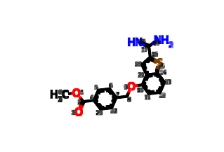 COC(=O)c1ccc(COc2cccc3sc(C(=N)N)cc23)cc1